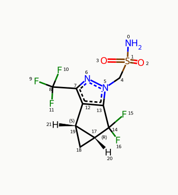 NS(=O)(=O)Cn1nc(C(F)(F)F)c2c1C(F)(F)[C@@H]1C[C@H]21